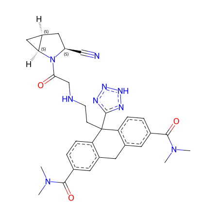 CN(C)C(=O)c1ccc2c(c1)Cc1cc(C(=O)N(C)C)ccc1C2(CCNCC(=O)N1[C@H](C#N)C[C@@H]2C[C@@H]21)c1nn[nH]n1